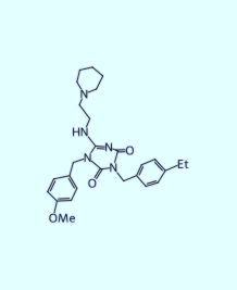 CCc1ccc(Cn2c(=O)nc(NCCN3CCCCC3)n(Cc3ccc(OC)cc3)c2=O)cc1